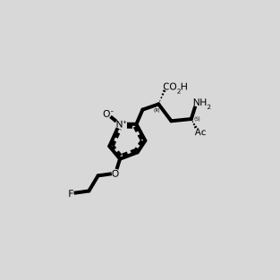 CC(=O)[C@@H](N)C[C@H](Cc1ccc(OCCF)c[n+]1[O-])C(=O)O